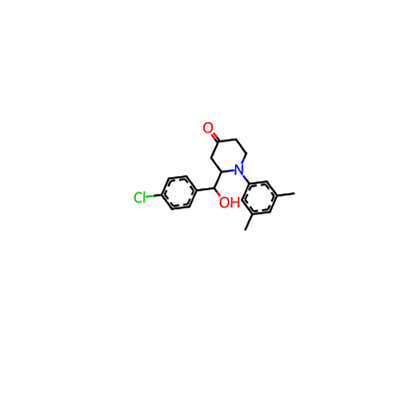 Cc1cc(C)cc(N2CCC(=O)CC2C(O)c2ccc(Cl)cc2)c1